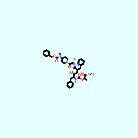 COC(=O)C(C)OC(=O)NC(Cc1ccccc1)C(O)CC(Cc1ccccc1)C(=O)N[C@H](C(=O)N1CCC(N(C)C(=O)OCc2ccccc2)CC1)C(C)C